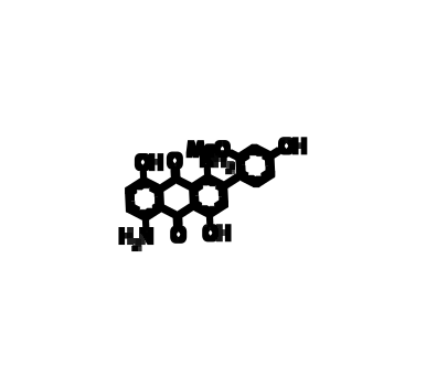 COc1cc(O)ccc1-c1cc(O)c2c(c1N)C(=O)c1c(O)ccc(N)c1C2=O